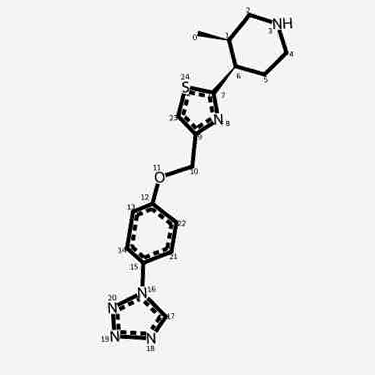 C[C@H]1CNCC[C@H]1c1nc(COc2ccc(-n3cnnn3)cc2)cs1